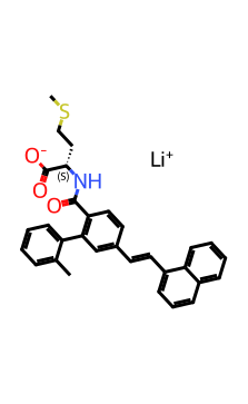 CSCC[C@H](NC(=O)c1ccc(C=Cc2cccc3ccccc23)cc1-c1ccccc1C)C(=O)[O-].[Li+]